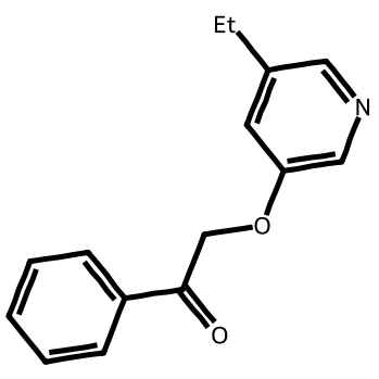 CCc1cncc(OCC(=O)c2ccccc2)c1